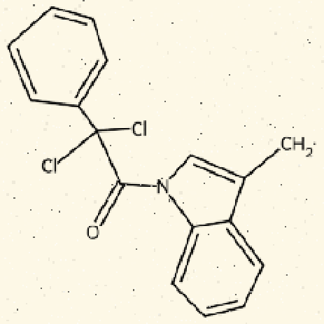 [CH2]c1cn(C(=O)C(Cl)(Cl)c2ccccc2)c2ccccc12